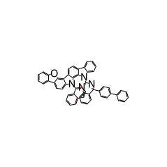 c1ccc(-c2ccc(-c3nc(-n4c5ccccc5c5ccc6c7c8oc9ccccc9c8ccc7n(-c7cccc8ccccc78)c6c54)nc4ccccc34)cc2)cc1